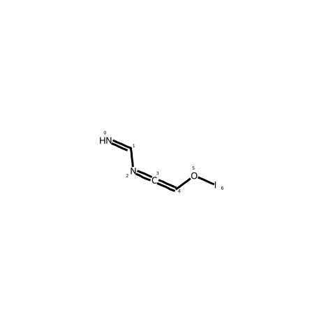 N=CN=C=COI